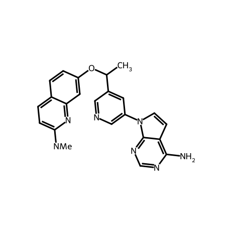 CNc1ccc2ccc(OC(C)c3cncc(-n4ccc5c(N)ncnc54)c3)cc2n1